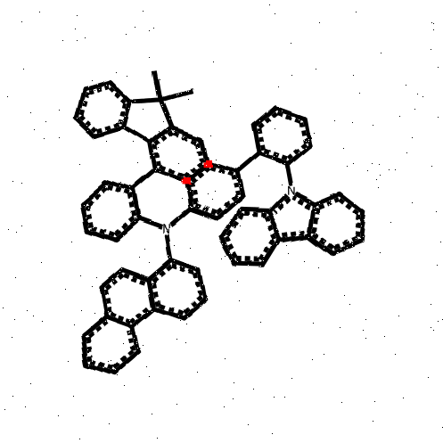 CC1(C)c2ccccc2-c2c(-c3ccccc3N(c3ccc(-c4ccccc4-n4c5ccccc5c5ccccc54)cc3)c3cccc4c3ccc3ccccc34)cccc21